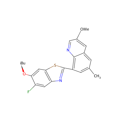 C[CH][C@H](C)Oc1cc2sc(-c3cc(C)cc4cc(OC)cnc34)nc2cc1F